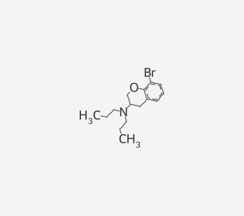 CCCN(CCC)C1COc2c(Br)cccc2C1